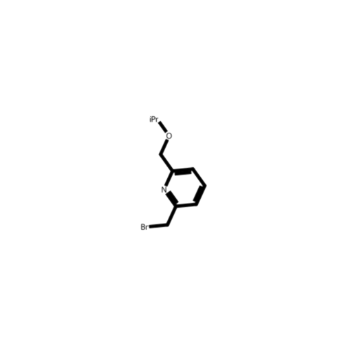 CC(C)OCc1cccc(CBr)n1